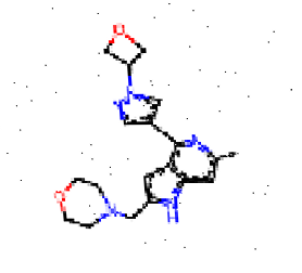 Cc1cc2[nH]c(CN3CCOCC3)cc2c(-c2cnn(C3COC3)c2)n1